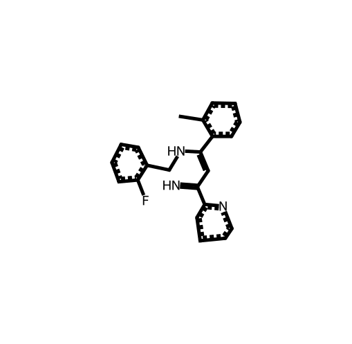 Cc1ccccc1/C(=C/C(=N)c1ccccn1)NCc1ccccc1F